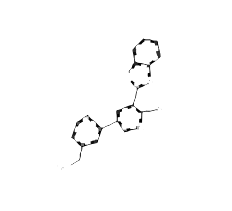 N#CCc1cccc(-c2cnc(N)c(-c3nc4ccccc4o3)c2)c1